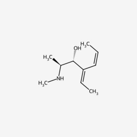 C/C=C\C(=C/C)[C@@H](O)[C@H](C)NC